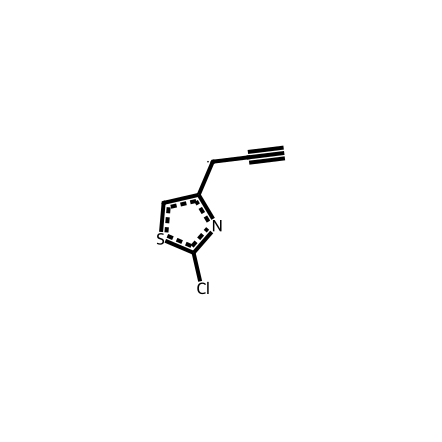 C#C[CH]c1csc(Cl)n1